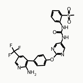 CS(=O)(=O)c1ccccc1NC(=O)Nc1cnc(Oc2ccc(-c3cc(C(F)(F)F)cnc3N)cc2)nc1